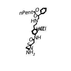 CCCCCC(=O)OC(CNCCc1ccc(NC(=O)Cc2nc(N)cs2)cc1)c1ccccc1.Cl.Cl